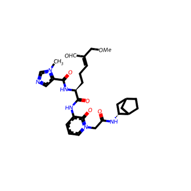 COC/C(C=O)=C/CC[C@H](NC(=O)c1cncn1C)C(=O)Nc1cccn(CC(=O)N[C@@H]2CC3CCC2C3)c1=O